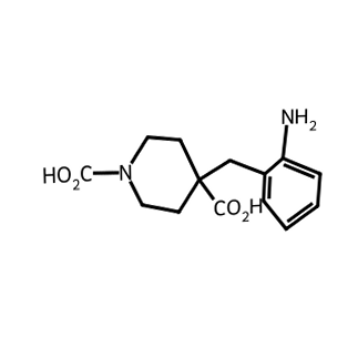 Nc1ccccc1CC1(C(=O)O)CCN(C(=O)O)CC1